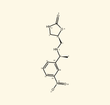 C[C@H](NC[C@H]1CNC(=O)O1)c1cccc([N+](=O)[O-])c1